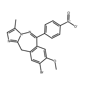 COc1cc2c(cc1Br)Cc1ncc(C)n1N=C2c1ccc([N+](=O)[O-])cc1